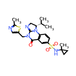 Cc1ncc(CN2C(=O)c3cc(S(=O)(=O)NC4(C)CC4)ccc3N3C2=NC[C@@H]3C(C)C)s1